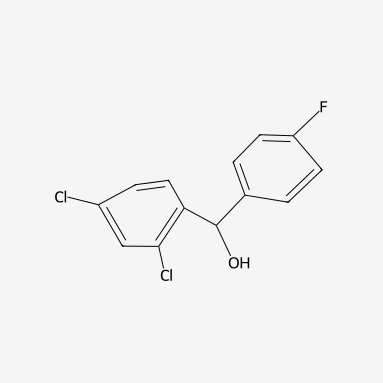 OC(c1ccc(F)cc1)c1ccc(Cl)cc1Cl